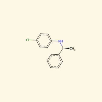 C[C@H](Nc1ccc(Cl)cc1)c1ccccc1